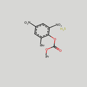 CCC(C)c1cc([N+](=O)[O-])cc([N+](=O)[O-])c1OC(=O)OC(C)C.S